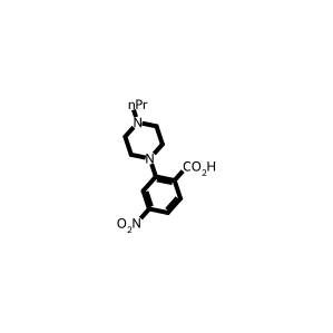 CCCN1CCN(c2cc([N+](=O)[O-])ccc2C(=O)O)CC1